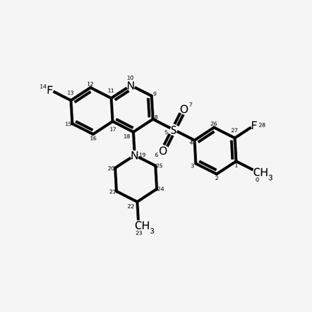 Cc1ccc(S(=O)(=O)c2cnc3cc(F)ccc3c2N2CCC(C)CC2)cc1F